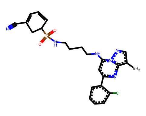 Bc1cnn2c(NCCCCNS(=O)(=O)C3C=CC=C(C#N)C3)cc(-c3ccccc3Cl)nc12